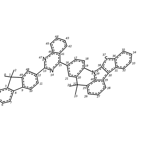 CC1(C)c2ccccc2-c2ccc(-c3nc(-c4ccc5c(c4)C(C)(C)c4cccc6c7c8ccccc8sc7n-5c46)c4ccccc4n3)cc21